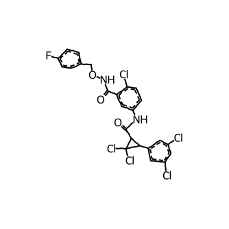 O=C(NOCc1ccc(F)cc1)c1cc(NC(=O)C2C(c3cc(Cl)cc(Cl)c3)C2(Cl)Cl)ccc1Cl